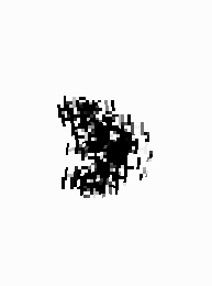 C[C@H](CC[C@@H](O[C@@H]1OC(CO[C@@H]2O[C@@H](CO)C(O)C(O)C2O)[C@@H](O)C(O)C1O[C@@H]1OC(CO)[C@@H](O)C(O)C1O)C(C)(C)O)[C@H]1CC[C@@]2(C)[C@@H]3CC=C4[C@@H](CC[C@H](O[C@@H]5OC(CO)[C@@H](O[C@@H]6OC(CO)[C@@H](O)C(O)C6O)C(O)C5O)C4(C)C)[C@]3(C)[C@H](O)C[C@]12C